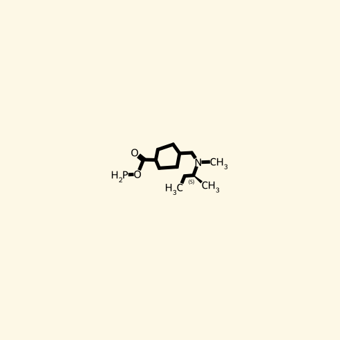 CC[C@H](C)N(C)CC1CCC(C(=O)OP)CC1